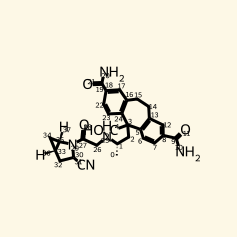 C[C@@H](CC1(C(=O)O)c2ccc(C(N)=O)cc2CCc2cc(C(N)=O)ccc21)NCC(=O)N1C(C#N)C[C@@H]2C[C@@H]21